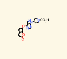 O=C(O)N1CCC(n2ncc3c(Oc4ccc5ccc(=O)oc5c4)ncnc32)CC1